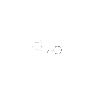 CC(=O)O[C@@H]1[C@@H](Br)[C@H](OC(=O)c2ccccc2)[C@@H]2OC[C@@H]1O2